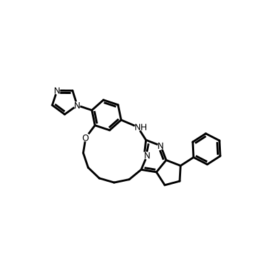 c1ccc(C2CCc3c4nc(nc32)Nc2ccc(-n3ccnc3)c(c2)OCCCCC4)cc1